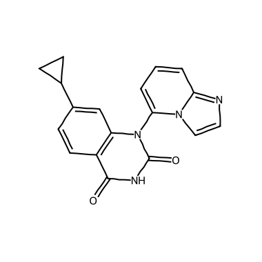 O=c1[nH]c(=O)n(-c2cccc3nccn23)c2cc(C3CC3)ccc12